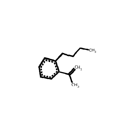 C=C(C)c1ccccc1CCCC